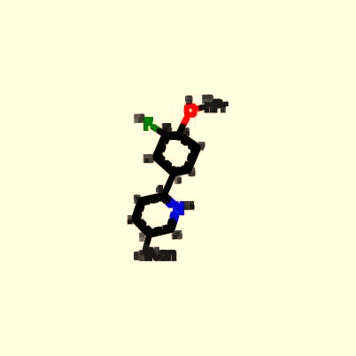 CCCCCCCCCc1ccc(-c2ccc(OCCC)c(F)c2)nc1